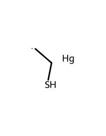 [CH2]CS.[Hg]